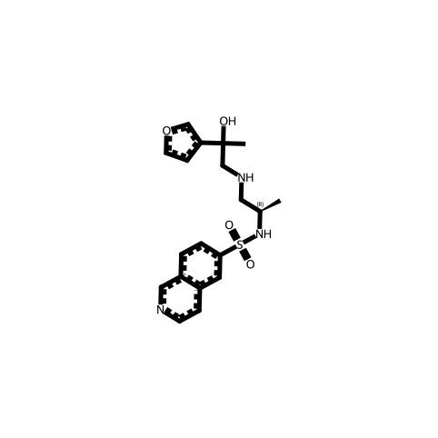 C[C@H](CNCC(C)(O)c1ccoc1)NS(=O)(=O)c1ccc2cnccc2c1